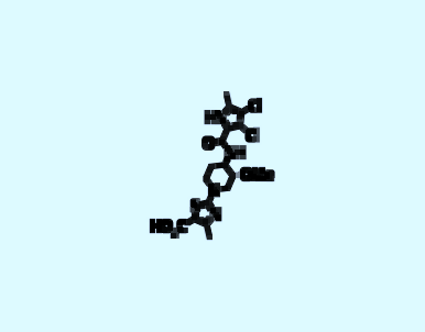 CO[C@@H]1CN(c2nc(C)c(C(=O)O)s2)CC[C@H]1NC(=O)c1[nH]c(C)c(Cl)c1Cl